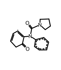 O=C1CC=C[C]=C1N(C(=O)N1CCCC1)c1ccccc1